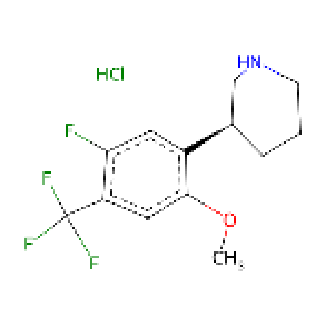 COc1cc(C(F)(F)F)c(F)cc1[C@@H]1CCCNC1.Cl